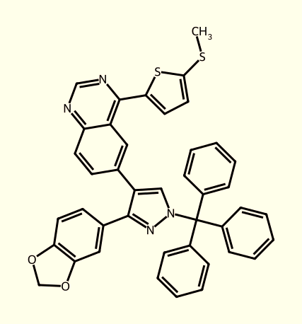 CSc1ccc(-c2ncnc3ccc(-c4cn(C(c5ccccc5)(c5ccccc5)c5ccccc5)nc4-c4ccc5c(c4)OCO5)cc23)s1